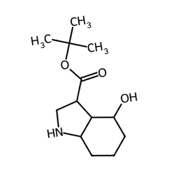 CC(C)(C)OC(=O)C1CNC2CCCC(O)C21